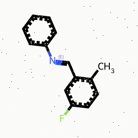 Cc1ccc(F)cc1/C=N/c1ccccc1